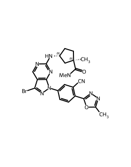 CNC(=O)[C@]1(C)CC[C@@H](Nc2ncc3c(Br)nn(-c4ccc(-c5nnc(C)o5)c(C#N)c4)c3n2)C1